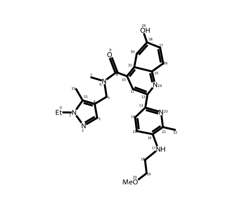 CCn1ncc(CN(C)C(=O)c2cc(-c3ccc(NCCOC)c(C)n3)nc3ccc(O)cc23)c1C